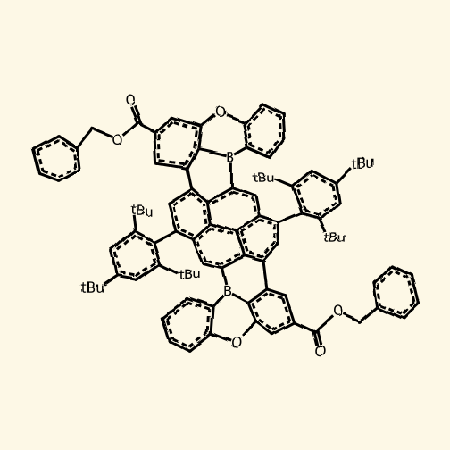 CC(C)(C)c1cc(C(C)(C)C)c(-c2cc3c4c(cc5c(-c6c(C(C)(C)C)cc(C(C)(C)C)cc6C(C)(C)C)cc6c7c(cc2c4c57)B2c4ccccc4Oc4cc(C(=O)OCc5ccccc5)cc-6c42)B2c4ccccc4Oc4cc(C(=O)OCc5ccccc5)cc-3c42)c(C(C)(C)C)c1